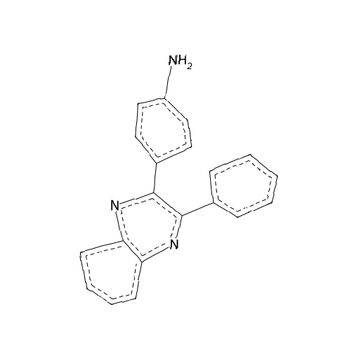 Nc1ccc(-c2nc3ccccc3nc2-c2ccccc2)cc1